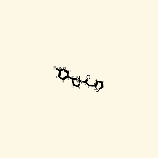 O=C(Cc1cccs1)N1CCC(c2ccc(F)cc2)=N1